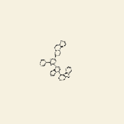 C1=CC2c3ccccc3C=CC2C=C1c1nc(-c2ccccc2)nc(-c2ccc(-c3cccc4oc5ccccc5c34)c3ccccc23)n1